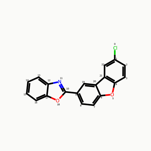 Clc1ccc2oc3ccc(-c4nc5ccccc5o4)cc3c2c1